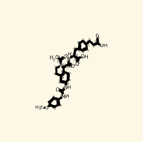 COc1ccc(NC(=O)Nc2ccc3c(c2)CCN(C(C)=O)C3C(=O)NC(Cc2ccc(CCC(=O)O)cc2)C(=O)O)cc1